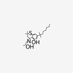 CCCCCCC(C)(C)c1cc(O)c2c(c1)SC(C)(C)CC2=NCC(C)O